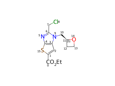 CCOC(=O)c1cc2c(nc(CCl)n2C[C@@H]2CCO2)s1